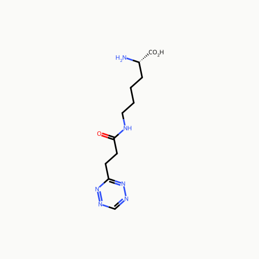 N[C@@H](CCCCNC(=O)CCc1nncnn1)C(=O)O